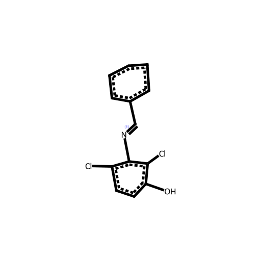 Oc1ccc(Cl)c(/N=C/c2ccccc2)c1Cl